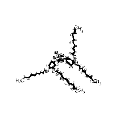 CCCCCCCCCCOc1ccc(S(=O)(=O)C(=[N+]=[N-])S(=O)(=O)c2ccc(OCCCCCCCCCC)c(OCCCCCCCCCC)c2)cc1OCCCCCCCCCC